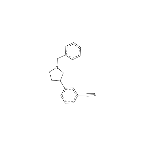 N#Cc1cccc(C2CCN(Cc3ccccc3)C2)c1